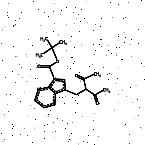 CC(=O)C(Cc1cn(C(=O)OC(C)(C)C)c2ncccc12)C(C)=O